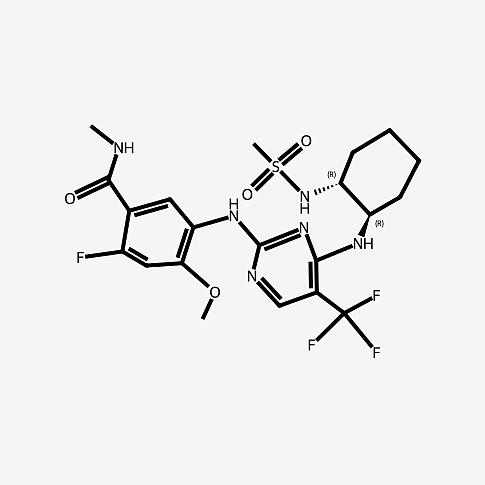 CNC(=O)c1cc(Nc2ncc(C(F)(F)F)c(N[C@@H]3CCCC[C@H]3NS(C)(=O)=O)n2)c(OC)cc1F